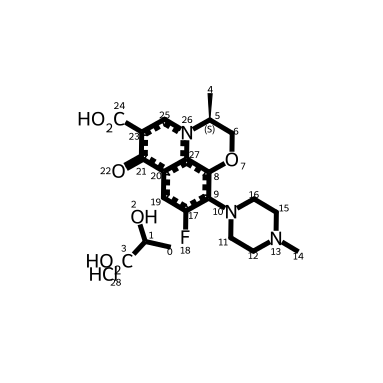 CC(O)C(=O)O.C[C@H]1COc2c(N3CCN(C)CC3)c(F)cc3c(=O)c(C(=O)O)cn1c23.Cl